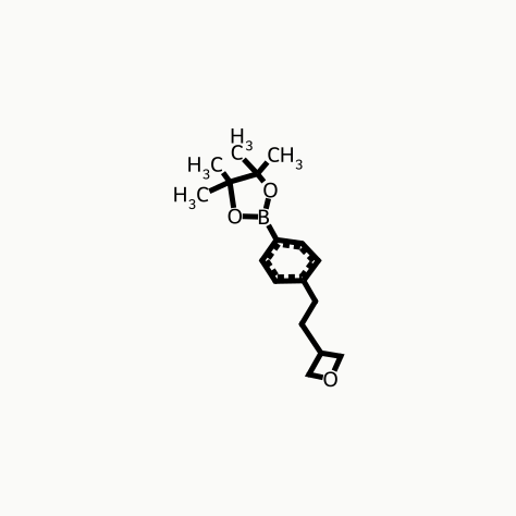 CC1(C)OB(c2ccc(CCC3COC3)cc2)OC1(C)C